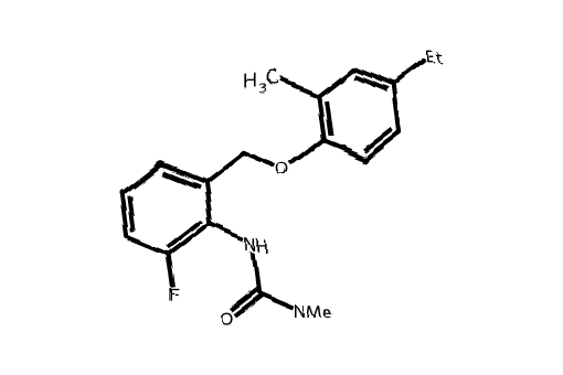 CCc1ccc(OCc2cccc(F)c2NC(=O)NC)c(C)c1